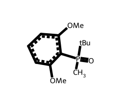 COc1cccc(OC)c1P(C)(=O)C(C)(C)C